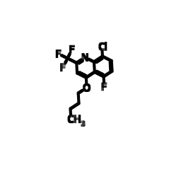 CCCCOc1cc(C(F)(F)F)nc2c(Cl)ccc(F)c12